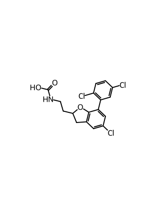 O=C(O)NCCC1Cc2cc(Cl)cc(-c3cc(Cl)ccc3Cl)c2O1